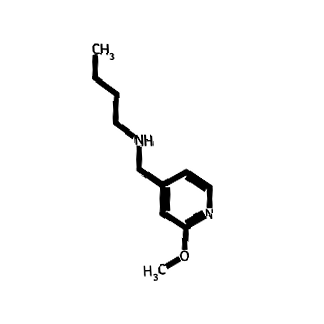 CCCCNCc1ccnc(OC)c1